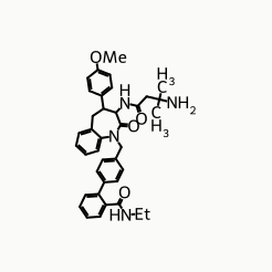 CCNC(=O)c1ccccc1-c1ccc(CN2C(=O)C(NC(=O)CC(C)(C)N)C(c3ccc(OC)cc3)Cc3ccccc32)cc1